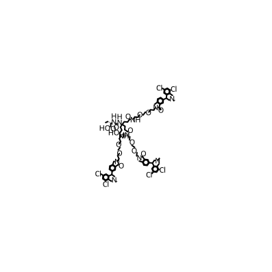 CC[C@H](NC(=O)NC(CCC(=O)NCCOCCOCCN1Cc2ccc(C3CN(C)Cc4c(Cl)cc(Cl)cc43)cc2C1=O)(CCC(=O)NCCOCCOCCN1Cc2ccc(C3CN(C)Cc4c(Cl)cc(Cl)cc43)cc2C1=O)CCC(O)NCCOCCOCCN1Cc2ccc(C3CN(C)Cc4c(Cl)cc(Cl)cc43)cc2C1=O)C(=O)O